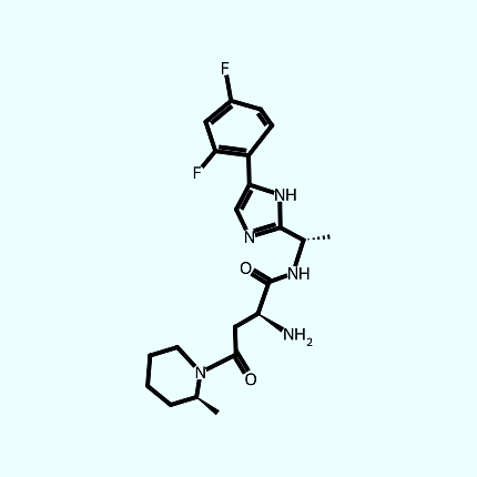 C[C@H](NC(=O)[C@@H](N)CC(=O)N1CCCC[C@@H]1C)c1ncc(-c2ccc(F)cc2F)[nH]1